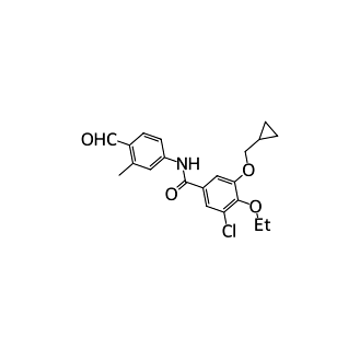 CCOc1c(Cl)cc(C(=O)Nc2ccc(C=O)c(C)c2)cc1OCC1CC1